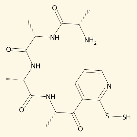 C[C@H](N)C(=O)N[C@@H](C)C(=O)N[C@@H](C)C(=O)N[C@@H](C)C(=O)c1cccnc1SS